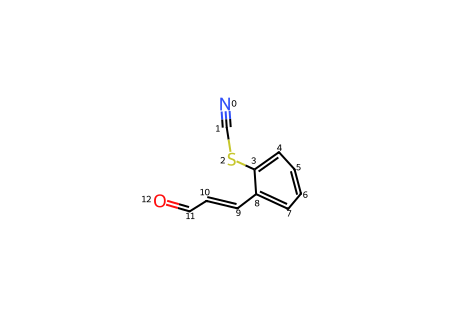 N#CSc1ccccc1/C=C/C=O